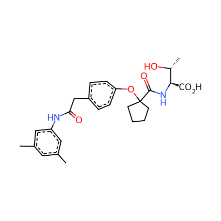 Cc1cc(C)cc(NC(=O)Cc2ccc(OC3(C(=O)N[C@H](C(=O)O)[C@@H](C)O)CCCC3)cc2)c1